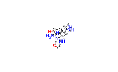 Nc1nc(NC2CCOC2)c2ccc(-c3ccn[nH]3)cc2n1.O=CO